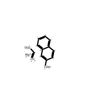 C=CC(=O)[O-].O=C([O-])c1ccc2ccccc2c1.[Mg+2]